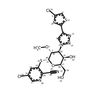 CO[C@@H]1[C@@H](n2cc(-c3nc(Cl)cs3)nn2)[C@@H](O)[C@@H](CO)O[C@@H]1Sc1cc(Cl)cnc1C#N